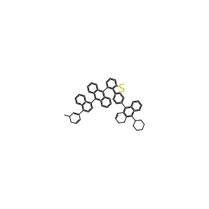 CC1C=C(c2ccc(-c3c4ccccc4c(-c4cccc5sc6cc(-c7c8c(c(C9CCCCC9)c9ccccc79)CCC=C8)ccc6c45)c4ccccc34)c3ccccc23)C=CC1